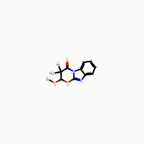 [2H]C1(C)C(=O)n2c(nc3ccccc32)SC1OCC